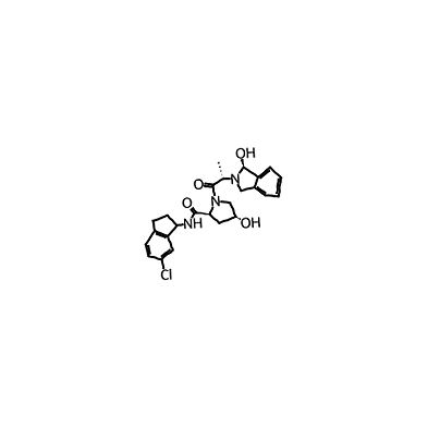 C[C@@H](C(=O)N1C[C@H](O)C[C@H]1C(=O)NC1CCc2ccc(Cl)cc21)N1Cc2ccccc2[C@@H]1O